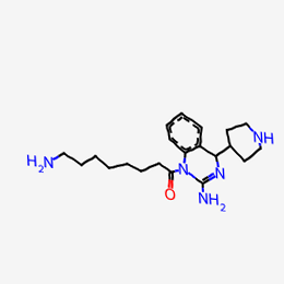 NCCCCCCCC(=O)N1C(N)=NC(C2CCNCC2)c2ccccc21